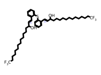 OC(/C=C/c1ccccc1Sc1ccccc1/C=C/C(O)CCCCCCCCCCCCC(F)(F)F)CCCCCCCCCCCCC(F)(F)F